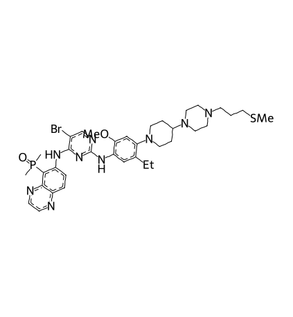 CCc1cc(Nc2ncc(Br)c(Nc3ccc4nccnc4c3P(C)(C)=O)n2)c(OC)cc1N1CCC(N2CCN(CCCSC)CC2)CC1